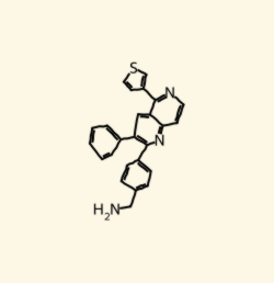 NCc1ccc(-c2nc3ccnc(-c4ccsc4)c3cc2-c2ccccc2)cc1